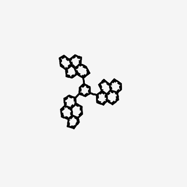 c1cc2ccc3ccc(-c4cc(-c5ccc6ccc7cccc8ccc5c6c78)cc(-c5ccc6ccc7cccc8ccc5c6c78)c4)c4ccc(c1)c2c34